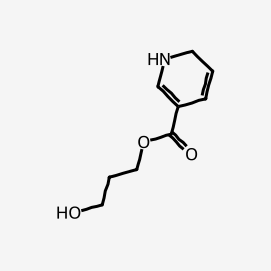 O=C(OCCCO)C1=CNCC=C1